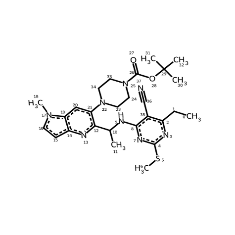 CCc1nc(SC)nc(NC(C)c2nc3ccn(C)c3cc2N2CCN(C(=O)OC(C)(C)C)CC2)c1C#N